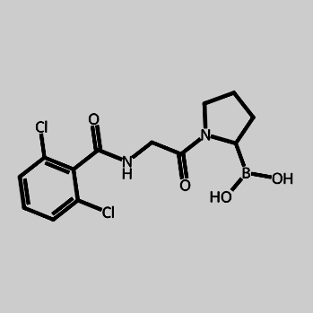 O=C(NCC(=O)N1CCCC1B(O)O)c1c(Cl)cccc1Cl